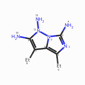 CCc1nc(N)n2c1c(CC)c(N)n2N